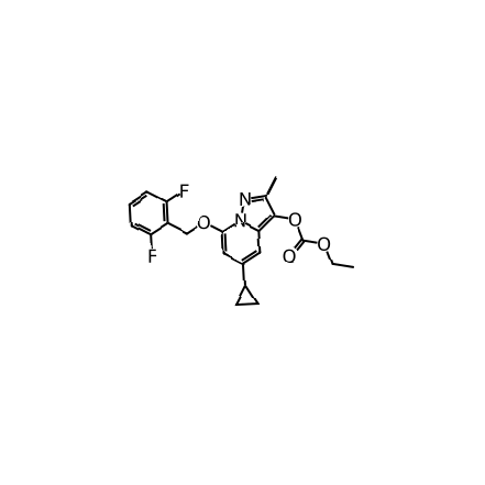 CCOC(=O)Oc1c(C)nn2c(OCc3c(F)cccc3F)cc(C3CC3)cc12